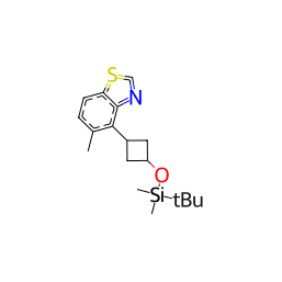 Cc1ccc2scnc2c1C1CC(O[Si](C)(C)C(C)(C)C)C1